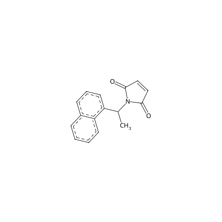 CC(c1cccc2ccccc12)N1C(=O)C=CC1=O